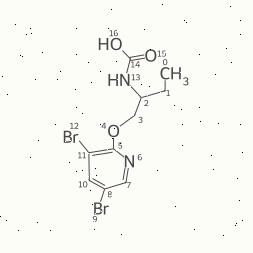 CCC(COc1ncc(Br)cc1Br)NC(=O)O